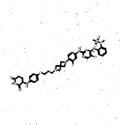 CN(c1ccccc1Nc1nc(Nc2ccc(N3CC4(CN(CCCOc5ccc(NC6CCC(=O)NC6=O)cc5)C4)C3)c(F)c2)ncc1Cl)S(C)(=O)=O